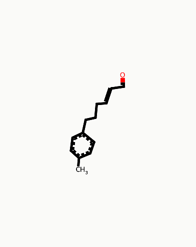 Cc1ccc(CCCC=CC=O)cc1